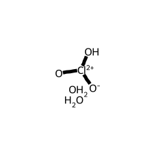 O.O.[O-][Cl+2]([O-])O